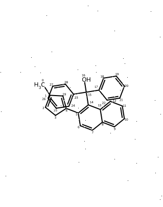 CC1=CCC(c2ccc3ccccc3c2C(O)(c2ccccc2)c2ccccc2)=C1